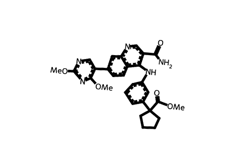 COC(=O)C1(c2cccc(Nc3c(C(N)=O)cnc4cc(-c5cnc(OC)nc5OC)ccc34)c2)CCCC1